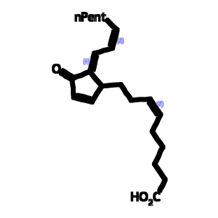 CCCCC/C=C\C=C1\C(=O)C=CC1CC/C=C\CCCCC(=O)O